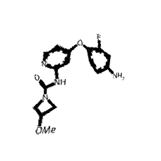 COC1CN(C(=O)Nc2cc(Oc3ccc(N)cc3F)ccn2)C1